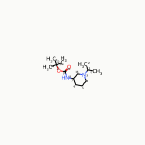 CC(C)N1CCCC(NC(=O)OC(C)(C)C)C1